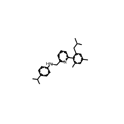 Cc1cc(C)c(-c2cccc(CNc3ccc(C(C)C)cc3)n2)c(CC(C)C)c1